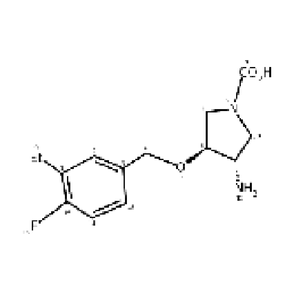 CCc1cc(CO[C@H]2CN(C(=O)O)C[C@@H]2N)ccc1F